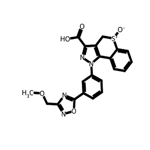 COCc1noc(-c2cccc(-n3nc(C(=O)O)c4c3-c3ccccc3[S+]([O-])C4)c2)n1